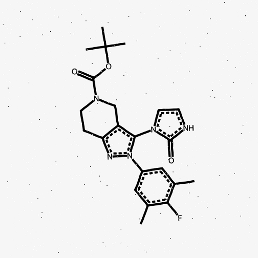 Cc1cc(-n2nc3c(c2-n2cc[nH]c2=O)CN(C(=O)OC(C)(C)C)CC3)cc(C)c1F